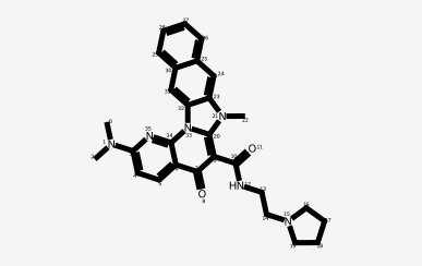 CN(C)c1ccc2c(=O)c(C(=O)NCCN3CCCC3)c3n(C)c4cc5ccccc5cc4n3c2n1